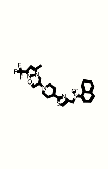 Cc1cc(C(F)(F)F)nn1CC(C=O)N1CCC(c2nc(C[S+]([O-])c3cccc4ccccc34)cs2)CC1